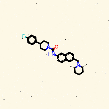 C[C@@H]1CCC[C@H](C)N1Cc1ccc2cc(NC(=O)N3CCC(c4ccc(F)cc4)CC3)ccc2c1